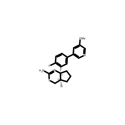 COc1cncc(-c2ccc(F)c([C@]34CCC[C@H]3CSC(N)=N4)c2)c1